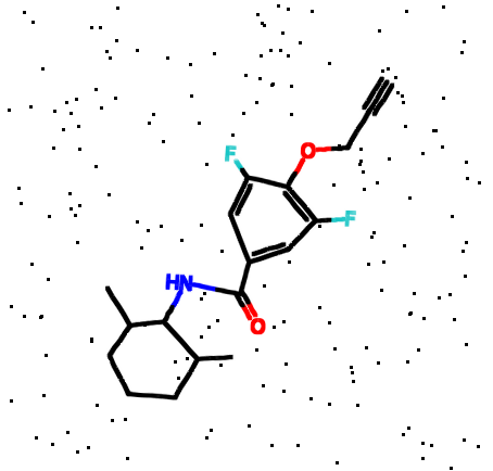 C#CCOc1c(F)cc(C(=O)NC2C(C)CCCC2C)cc1F